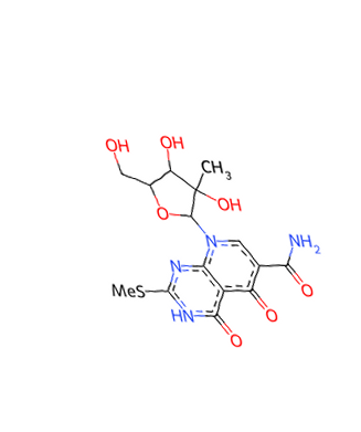 CSc1nc2c(c(=O)[nH]1)c(=O)c(C(N)=O)cn2C1OC(CO)C(O)C1(C)O